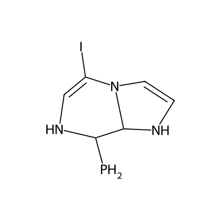 PC1NC=C(I)N2C=CNC12